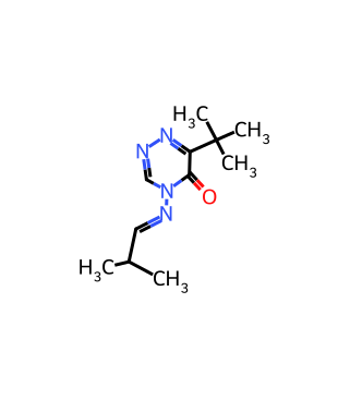 CC(C)C=Nn1cnnc(C(C)(C)C)c1=O